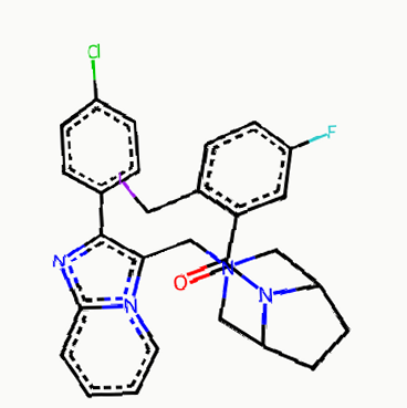 O=C(c1cc(F)ccc1CI)N1C2CCC1CN(Cc1c(-c3ccc(Cl)cc3)nc3ccccn13)C2